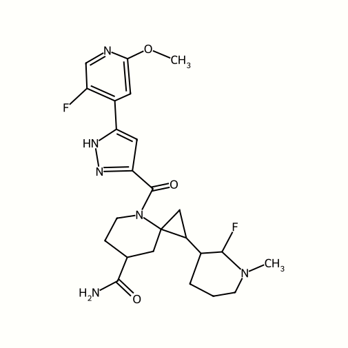 COc1cc(-c2cc(C(=O)N3CCC(C(N)=O)CC34CC4C3CCCN(C)C3F)n[nH]2)c(F)cn1